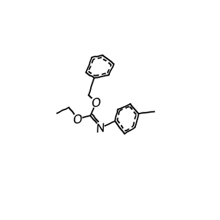 CCOC(=Nc1ccc(C)cc1)OCc1ccccc1